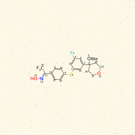 COC1(c2cc(F)cc(Sc3ccc(C(=NO)C(F)(F)F)cc3)c2)CCOCC1